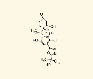 C[C@@H]1CC(=O)C=C(O)[C@]1(C)C(=O)c1c(O)cc(-c2nnc(C(C)(C)O)o2)c(Cl)c1O